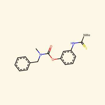 CNC(=S)Nc1cccc(OC(=O)N(C)Cc2ccccc2)c1